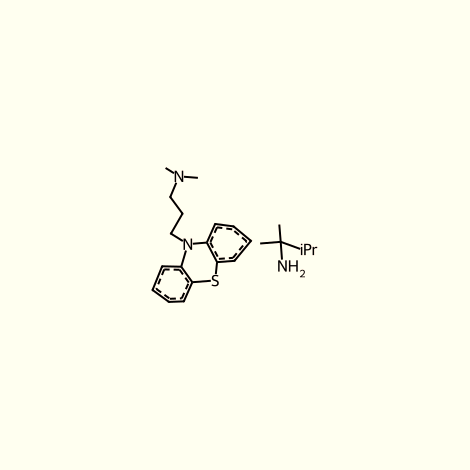 CC(C)C(C)(C)N.CN(C)CCCN1c2ccccc2Sc2ccccc21